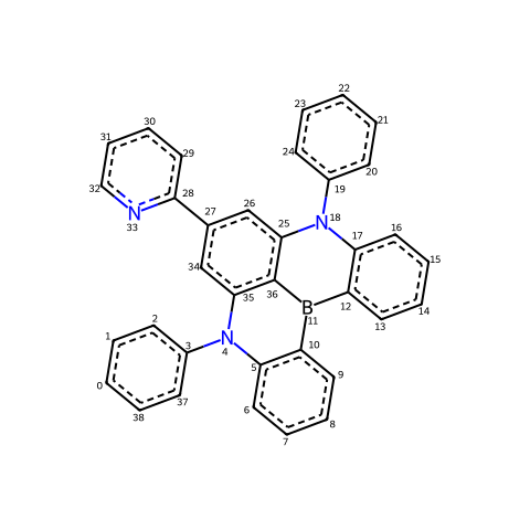 c1ccc(N2c3ccccc3B3c4ccccc4N(c4ccccc4)c4cc(-c5ccccn5)cc2c43)cc1